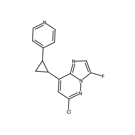 Fc1cnc2c(C3CC3c3ccncc3)cc(Cl)nn12